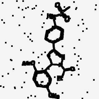 CCC(=O)N1N=C(c2ccc(NS(C)(=O)=O)cc2)CC1c1cc(OC)ccc1OC